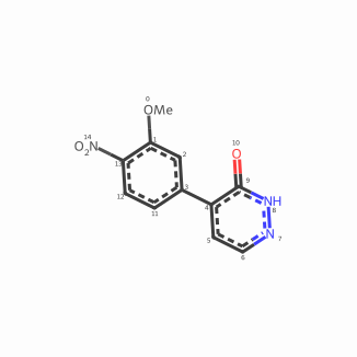 COc1cc(-c2ccn[nH]c2=O)ccc1[N+](=O)[O-]